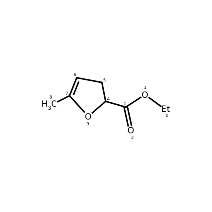 CCOC(=O)C1CC=C(C)O1